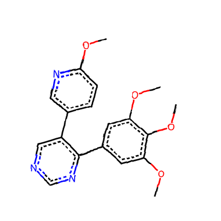 COc1ccc(-c2cncnc2-c2cc(OC)c(OC)c(OC)c2)cn1